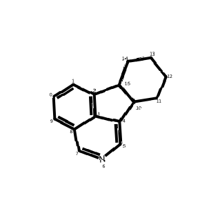 c1cc2c3c(cncc3c1)C1CCCCC21